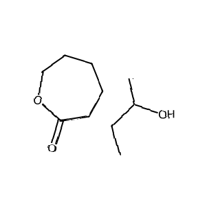 O=C1CCCCCO1.[CH2]C(O)CC